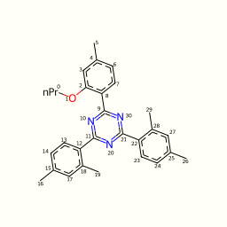 CCCOc1cc(C)ccc1-c1nc(-c2ccc(C)cc2C)nc(-c2ccc(C)cc2C)n1